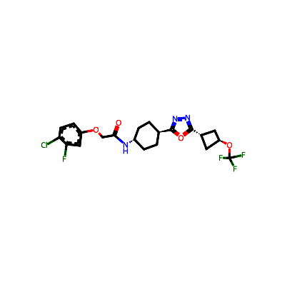 O=C(COc1ccc(Cl)c(F)c1)N[C@H]1CC[C@H](c2nnc([C@H]3C[C@H](OC(F)(F)F)C3)o2)CC1